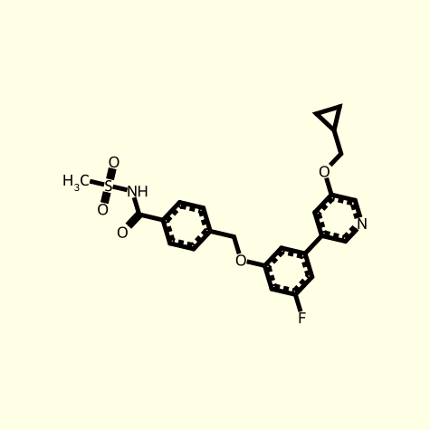 CS(=O)(=O)NC(=O)c1ccc(COc2cc(F)cc(-c3cncc(OCC4CC4)c3)c2)cc1